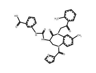 Cc1ccc2c(c1)N(CC(=O)c1ccccc1C)C(=O)C(NC(=O)Nc1cccc(C(=O)O)c1)CN2C(=O)c1ccco1